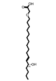 CCCC[C@@H](O)C=CCCCCCCCCCCOCC(=O)O